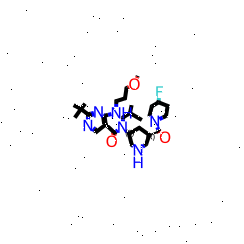 COCCCNc1nc(C(C)(C)C)ncc1C(=O)N(CC(C)C)[C@@H]1CNC[C@H](C(=O)N2CCC(F)CC2)C1